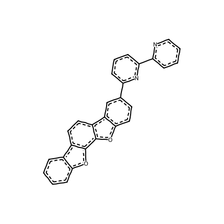 c1ccc(-c2cccc(-c3ccc4oc5c(ccc6c7ccccc7oc65)c4c3)n2)nc1